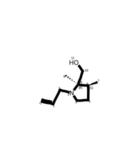 C=CCN1CC[C@H](C)[C@]1(C)CO